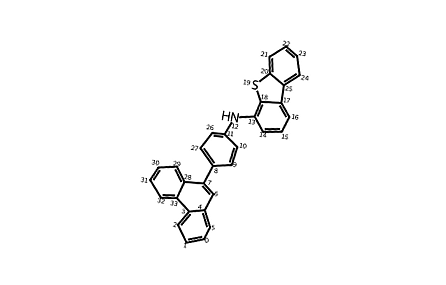 c1ccc2c(c1)cc(-c1ccc(Nc3cccc4c3sc3ccccc34)cc1)c1ccccc12